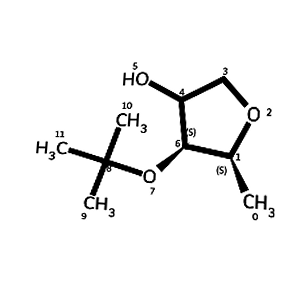 C[C@@H]1OCC(O)[C@@H]1OC(C)(C)C